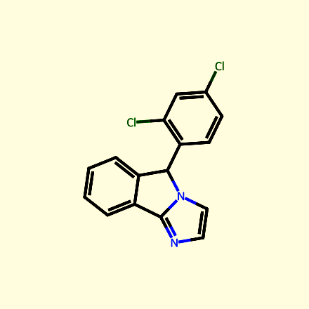 Clc1ccc(C2c3ccccc3-c3nccn32)c(Cl)c1